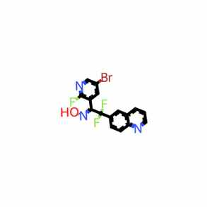 O/N=C(\c1cc(Br)cnc1F)C(F)(F)c1ccc2ncccc2c1